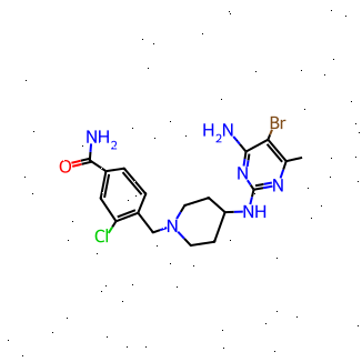 Cc1nc(NC2CCN(Cc3ccc(C(N)=O)cc3Cl)CC2)nc(N)c1Br